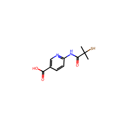 CC(C)(S)C(=O)Nc1ccc(C(=O)O)cn1